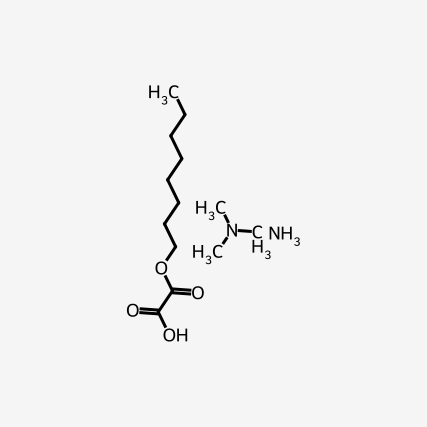 CCCCCCCCOC(=O)C(=O)O.CN(C)C.N